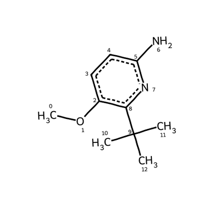 COc1ccc(N)nc1C(C)(C)C